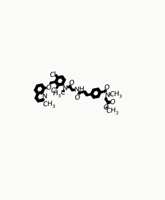 COC(=O)CN(C)C(=O)c1ccc(/C=C/C(=O)NCC(=O)N(C)c2ccc(Cl)c(COc3cccc4ccc(C)nc34)c2Cl)cc1